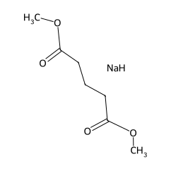 COC(=O)CCCC(=O)OC.[NaH]